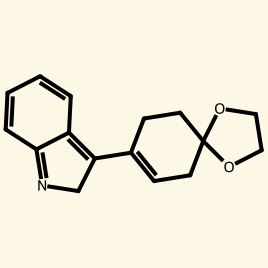 C1=C(C2=c3ccccc3=NC2)CCC2(C1)OCCO2